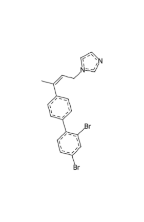 C/C(=C/Cn1ccnc1)c1ccc(-c2ccc(Br)cc2Br)cc1